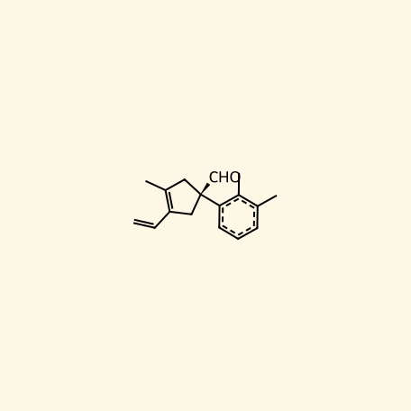 C=CC1=C(C)C[C@](C=O)(c2cccc(C)c2C)C1